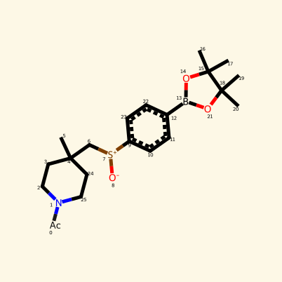 CC(=O)N1CCC(C)(C[S+]([O-])c2ccc(B3OC(C)(C)C(C)(C)O3)cc2)CC1